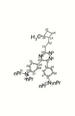 CCCN(CCC)c1ccc(-c2nnc(CCC3CCC3C)nc2-c2ccc(N(CCC)CCC)cc2)cc1